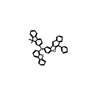 CC1(C)c2ccccc2-c2ccc(N(c3ccc4oc5c(-c6ccccc6)c6ccccc6cc5c4c3)c3cccc4c3sc3ccccc34)cc21